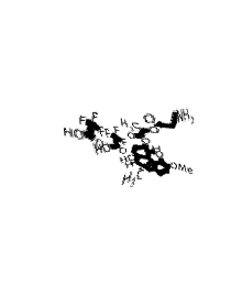 COc1ccc2c3c1O[C@H]1C(OC(=O)C(C)OC(=O)CCN)=CC[C@@]4(O)[C@@H](C2)N(C)CC[C@]314.O=C(O)C(F)(F)F.O=C(O)C(F)(F)F